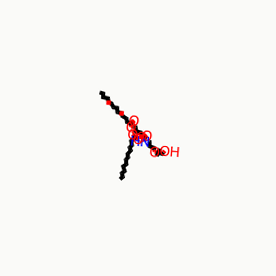 CCCCCCCCCCCCCC(=O)OCC(COC(=O)NCCCOC(C)(C)CO)OC(=O)CCCCCCCCCCCCC